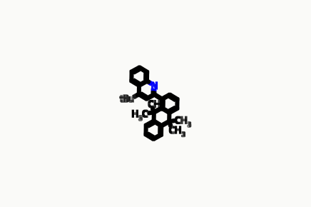 CC(C)(C)c1cc(-c2cccc3c2C(C)(C)c2ccccc2C3(C)C)nc2ccccc12